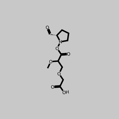 COC(COCC(=O)O)C(=O)ON1CCC[C@H]1C=O